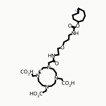 O=C(O)CN1CCN(CC(=O)O)CCN(CC(=O)NCCOCCCNC(=O)OC2CC/C=C/CCC2)CCN(CC(=O)O)CC1